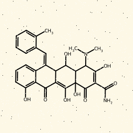 Cc1ccccc1/C=C1\c2cccc(O)c2C(=O)C2=C(O)C3(O)C(=O)C(C(N)=O)=C(O)C(N(C)C)C3C(O)C21